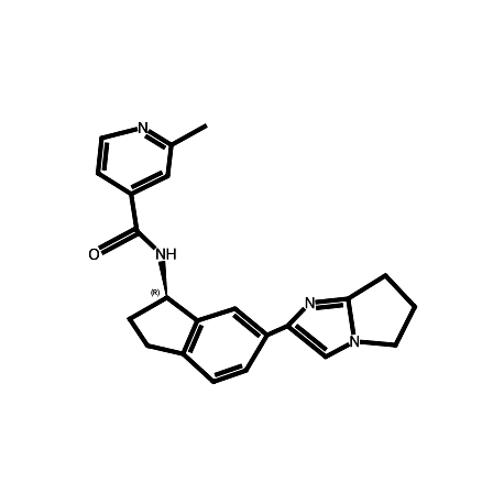 Cc1cc(C(=O)N[C@@H]2CCc3ccc(-c4cn5c(n4)CCC5)cc32)ccn1